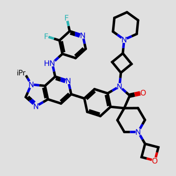 CC(C)n1cnc2cc(-c3ccc4c(c3)N(C3CC(N5CCCCC5)C3)C(=O)C43CCN(C4COC4)CC3)nc(Nc3ccnc(F)c3F)c21